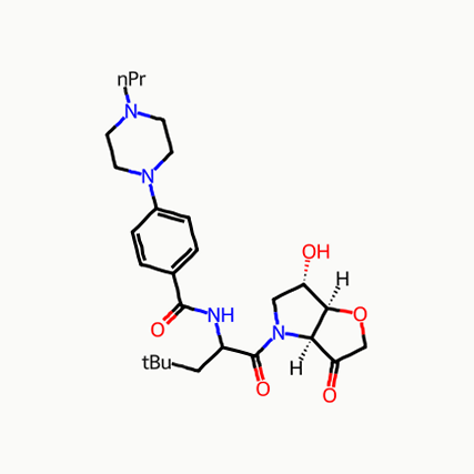 CCCN1CCN(c2ccc(C(=O)NC(CC(C)(C)C)C(=O)N3C[C@H](O)[C@H]4OCC(=O)[C@H]43)cc2)CC1